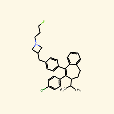 CC(C)C1CCc2ccccc2C(c2ccc(CC3CN(CCCF)C3)cc2)=C1c1ccc(Cl)cc1